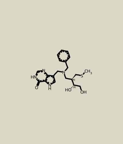 CSC[C@H](CN(Cc1ccccc1)Cc1c[nH]c2c(=O)[nH]cnc12)[C@@H](O)CO